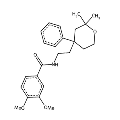 COc1ccc(C(=O)NCCC2(c3ccccc3)CCOC(C)(C)C2)cc1OC